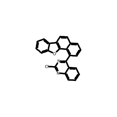 Clc1nc(-c2cccc3ccc4c5ccccc5oc4c23)c2ccccc2n1